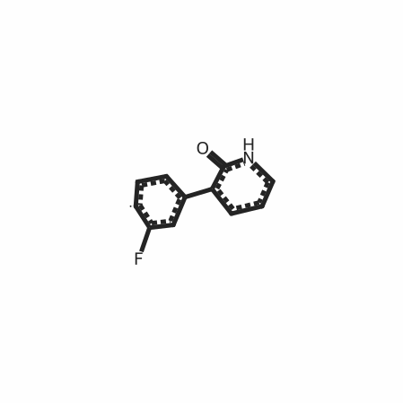 O=c1[nH]cccc1-c1cc[c]c(F)c1